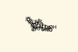 O=P(O)(O)COC[C@H]1O[C@@H](c2c(Br)sc3c(N4CC5CCCC5C4)nc(Cl)nc23)[C@H](O)[C@@H]1O